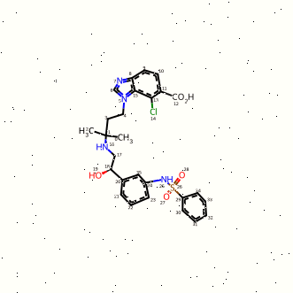 CC(C)(CCn1cnc2ccc(C(=O)O)c(Cl)c21)NC[C@H](O)c1cccc(NS(=O)(=O)c2ccccc2)c1